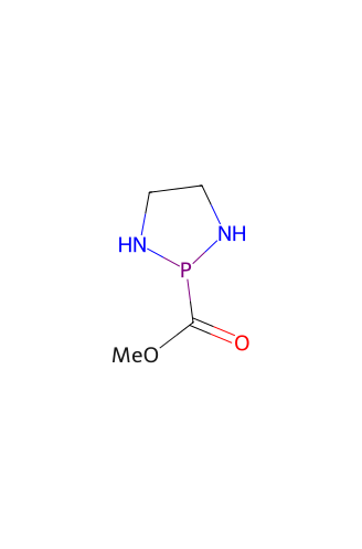 COC(=O)P1NCCN1